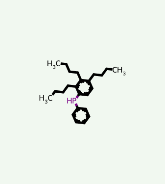 CCCCc1ccc(Pc2ccccc2)c(CCCC)c1CCCC